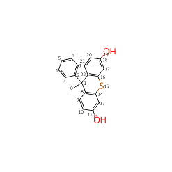 CC1(c2ccccc2)c2ccc(O)cc2Sc2cc(O)ccc21